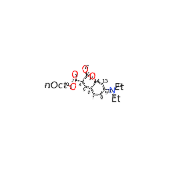 CCCCCCCCOC(=O)c1cc2ccc(N(CC)CC)cc2oc1=O